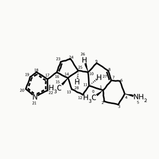 C[C@]12CC[C@H](N)CC1=CC[C@@H]1[C@@H]2CC[C@]2(C)C(c3cccnc3)=CC[C@@H]12